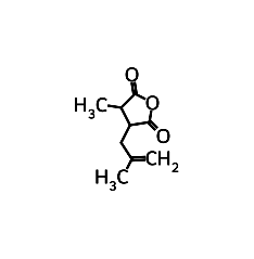 C=C(C)CC1C(=O)OC(=O)C1C